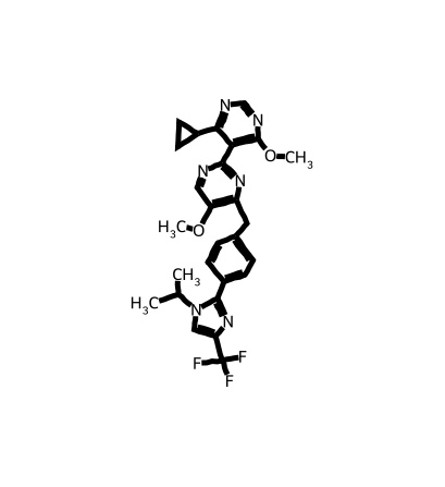 COc1cnc(-c2c(OC)ncnc2C2CC2)nc1Cc1ccc(-c2nc(C(F)(F)F)cn2C(C)C)cc1